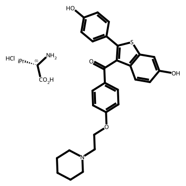 CC(C)[C@H](N)C(=O)O.Cl.O=C(c1ccc(OCCN2CCCCC2)cc1)c1c(-c2ccc(O)cc2)sc2cc(O)ccc12